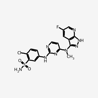 CN(c1ccnc(Nc2ccc(Cl)c(S(N)(=O)=O)c2)n1)c1n[nH]c2ncc(F)cc12